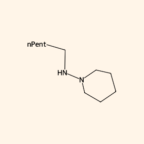 CCCCCCNN1CCCCC1